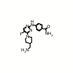 NCC1CCN(c2nc(Nc3ccc(C(N)=O)cc3)ncc2F)CC1